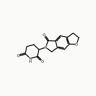 O=C1CCC(N2Cc3cc4c(cc3C2=O)CCO4)C(=O)N1